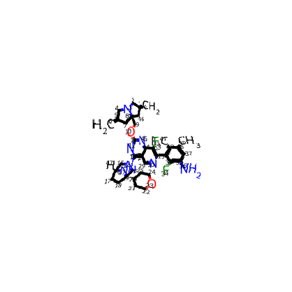 C=C1CN2CC(=C)CC2(COc2nc(N3C[C@@H]4CC[C@](C5CCOCC5)(C3)N4)c3cnc(-c4c(F)c(N)cc(C)c4C(F)(F)F)c(F)c3n2)C1